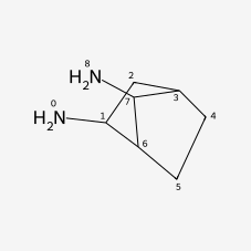 NC1CC2CCC1C2N